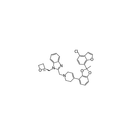 CC1(c2ccc(Cl)c3ccoc23)Oc2cccc(C3=CCN(Cc4nc5ccccc5n4C[C@@H]4CCO4)CC3)c2O1